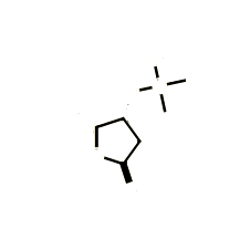 CC[C@H]1OC(=O)C[C@H]1O[Si](C)(C)C(C)(C)C